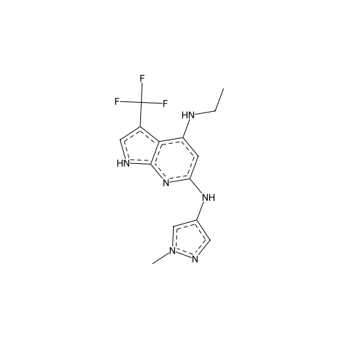 CCNc1cc(Nc2cnn(C)c2)nc2[nH]cc(C(F)(F)F)c12